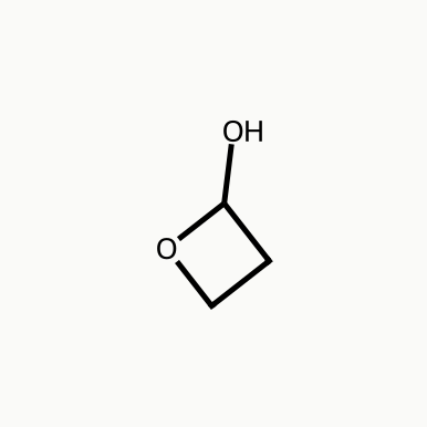 OC1CCO1